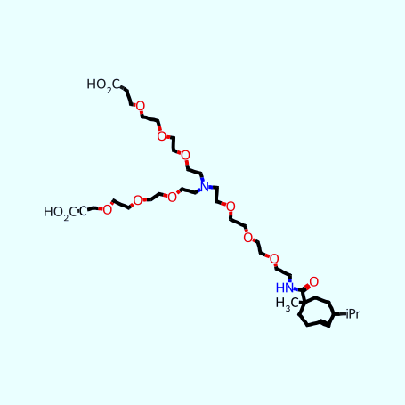 CC(C)C1/C=C/CCC(C)(C(=O)NCCOCCOCCOCCN(CCOCCOCCOCCC(=O)O)CCOCCOCCOCCC(=O)O)CC1